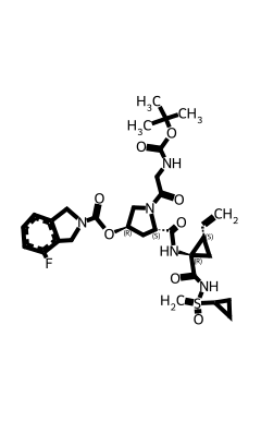 C=C[C@@H]1C[C@]1(NC(=O)[C@@H]1C[C@@H](OC(=O)N2Cc3cccc(F)c3C2)CN1C(=O)CNC(=O)OC(C)(C)C)C(=O)NS(=C)(=O)C1CC1